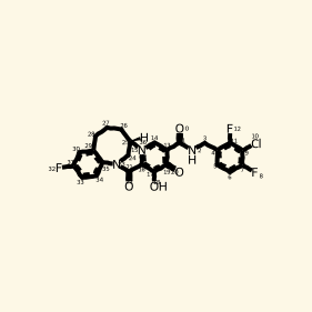 O=C(NCc1ccc(F)c(Cl)c1F)c1cn2c(c(O)c1=O)C(=O)N1C[C@@H]2CCCc2cc(F)ccc21